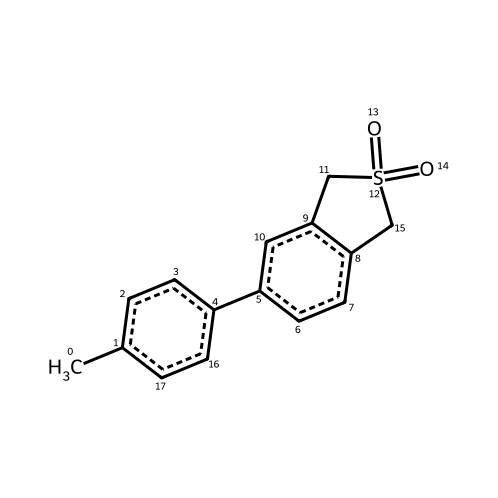 Cc1ccc(-c2ccc3c(c2)CS(=O)(=O)C3)cc1